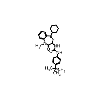 CN1C(=O)C(NC(=O)Nc2ccc(C(C)(C)C)cc2)N=C(C2CCCCC2)c2ccccc21